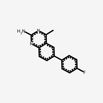 Cc1nc(N)nc2ccc(-c3ccc(F)cc3)cc12